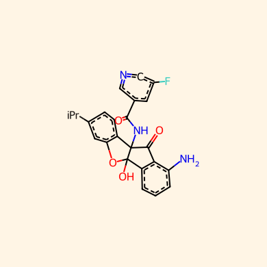 CC(C)c1ccc2c(c1)OC1(O)c3cccc(N)c3C(=O)C21NC(=O)c1cncc(F)c1